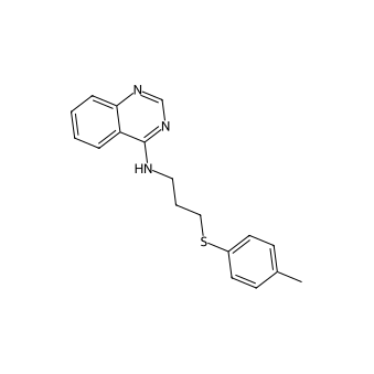 Cc1ccc(SCCCNc2ncnc3ccccc23)cc1